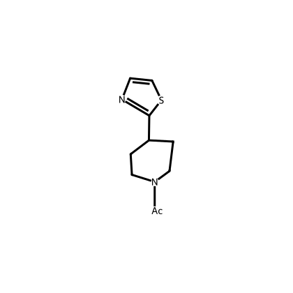 CC(=O)N1CCC(c2nccs2)CC1